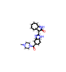 CN1CCN(C(=O)c2ccc3[nH]c(-c4c5cccccc-5[nH]c4=O)nc3c2)CC1